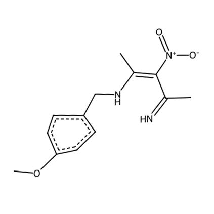 COc1ccc(CN/C(C)=C(\C(C)=N)[N+](=O)[O-])cc1